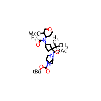 COC1COCCC1N(C(=O)C(F)(F)F)C1CCC(C(=O)N2CC3CC2CN3C(=O)OC(C)(C)C)(C(C)(C)OC(C)=O)C1